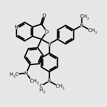 CN(C)c1ccc(N(c2ccc(N(C)C)cc2)C2(c3ccc(N(C)C)cc3)OC(=O)c3cnccc32)cc1